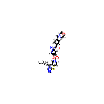 O=C(O)CCn1nnnc1SC1CCN(C(=O)Oc2ccc(NC(=O)c3ccc(CN4CCOCC4)cc3)nc2)CC1